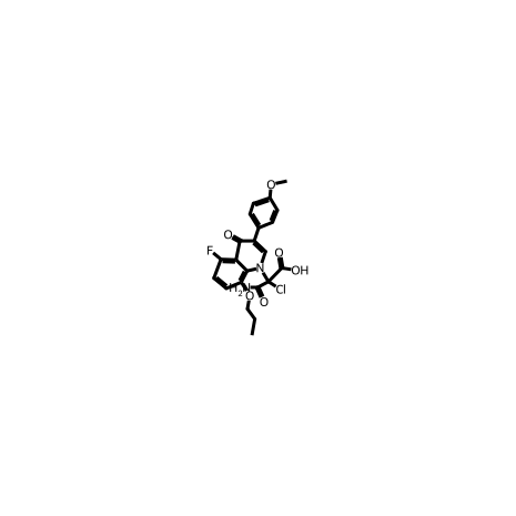 CCCOc1ccc(F)c2c(=O)c(-c3ccc(OC)cc3)cn(C(Cl)(C(N)=O)C(=O)O)c12